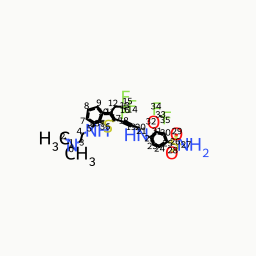 CN(C)CCNc1cccc2c(CC(F)(F)F)c(C#CCNc3ccc(S(N)(=O)=O)cc3OC(F)F)sc12